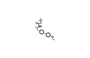 CCOc1ccc(-c2ccc(CC(C)NC(=O)OC(C)(C)C)cc2)cc1